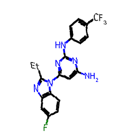 CCc1nc2cc(F)ccc2n1-c1cc(N)nc(Nc2ccc(C(F)(F)F)cc2)n1